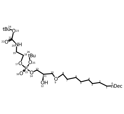 CCCCCCCCCCCCCCCCCCOC[C@@H](O)COP(=O)(OCCNC(=O)OC(C)(C)C)OC(C)(C)C